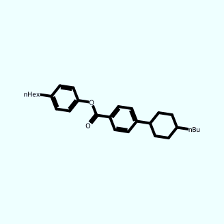 CCCCCCc1ccc(OC(=O)c2ccc(C3CCC(CCCC)CC3)cc2)cc1